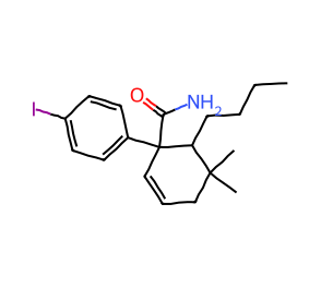 CCCCC1C(C)(C)CC=CC1(C(N)=O)c1ccc(I)cc1